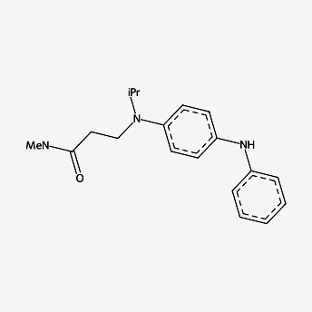 CNC(=O)CCN(c1ccc(Nc2ccccc2)cc1)C(C)C